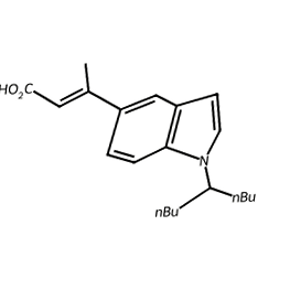 CCCCC(CCCC)n1ccc2cc(C(C)=CC(=O)O)ccc21